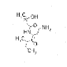 CCC(C)C(=O)[C@H](CCN)NC(=O)C[C@H](C)O